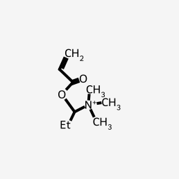 C=CC(=O)OC(CC)[N+](C)(C)C